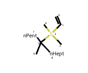 C=CS(C)(C)C(C)(CCCCC)CCCCCCC